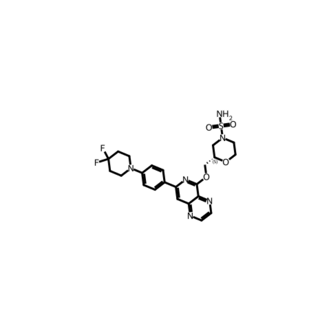 NS(=O)(=O)N1CCO[C@H](COc2nc(-c3ccc(N4CCC(F)(F)CC4)cc3)cc3nccnc23)C1